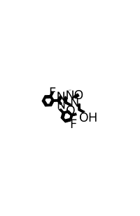 CC1CC(Cn2c(-c3ccccc3F)nc3c2c(=O)n(CCCO)c(=O)n3C)=CC=C1F